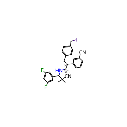 C[C@H](NC(c1cc(F)cc(F)c1)C(C)(C)C#N)[C@@H](Cc1ccc(CI)cc1)c1cccc(C#N)c1